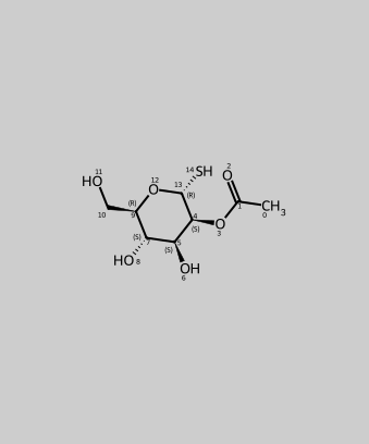 CC(=O)O[C@H]1[C@@H](O)[C@H](O)[C@@H](CO)O[C@@H]1S